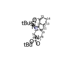 CC(C)(C)OC(=O)N1C2CCC1CC1(Cc3ccccc3/C1=N\[S@+]([O-])C(C)(C)C)C2